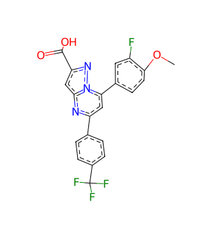 COc1ccc(-c2cc(-c3ccc(C(F)(F)F)cc3)nc3cc(C(=O)O)nn23)cc1F